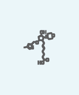 Cc1csc(COC2CC(O)C(N3CCOCC3)C2C/C=C/CCCC(=O)O)c1